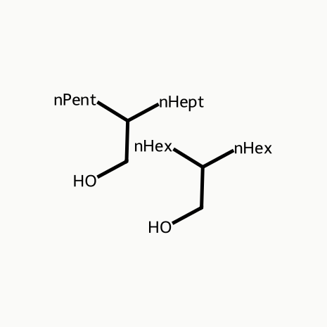 CCCCCCC(CO)CCCCCC.CCCCCCCC(CO)CCCCC